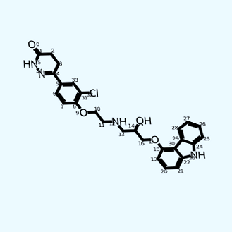 O=C1CCC(c2ccc(OCCNCC(O)COc3cccc4[nH]c5ccccc5c34)c(Cl)c2)=NN1